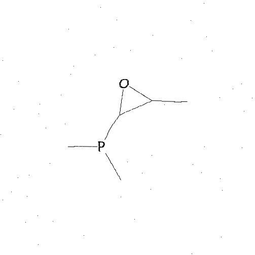 CC1OC1P(C)C